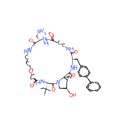 CC(C)(C)[C@@H]1NC(=O)COCCNC(=O)[C@@H](CN)NC(=O)CCNC(=O)[C@@H](Cc2ccc(-c3ccccc3)cc2)NC(=O)[C@@H]2C[C@@H](O)CN2C1=O